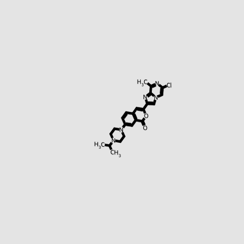 Cc1nc(Cl)cn2cc(-c3cc4ccc(N5CCN(C(C)C)CC5)cc4c(=O)o3)nc12